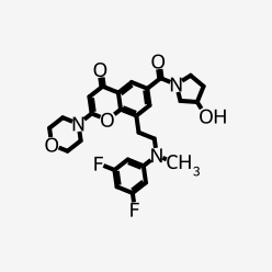 CN(CCc1cc(C(=O)N2CCC(O)C2)cc2c(=O)cc(N3CCOCC3)oc12)c1cc(F)cc(F)c1